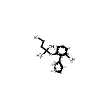 CC(C)(CCBr)Sc1cccc(C#N)c1-c1ccn[nH]1